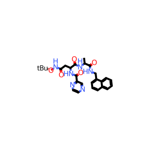 CC(NC(=O)C(CC(=O)NOC(C)(C)C)NC(=O)c1cnccn1)C(=O)NCc1cccc2ccccc12